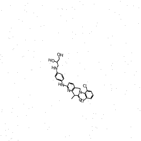 CC1C(=O)N(c2c(Cl)cccc2Cl)Cc2ccc(Nc3ccc(NCC(O)CO)cc3)nc21